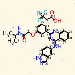 CC(C)NC(=O)COc1cccc(-c2nc(Nc3ccc4[nH]ncc4c3)c3ccccc3n2)c1.O=C(O)CC(F)(F)F